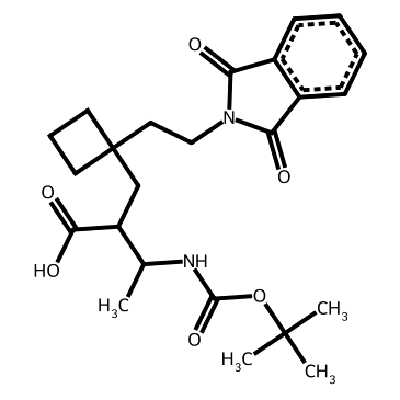 CC(NC(=O)OC(C)(C)C)C(CC1(CCN2C(=O)c3ccccc3C2=O)CCC1)C(=O)O